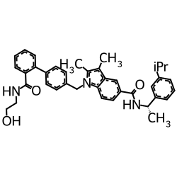 Cc1c(C)n(Cc2ccc(-c3ccccc3C(=O)NCCO)cc2)c2ccc(C(=O)N[C@@H](C)c3cccc(C(C)C)c3)cc12